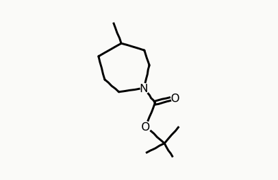 CC1CCCN(C(=O)OC(C)(C)C)CC1